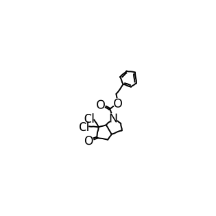 O=C(OCc1ccccc1)N1CCC2CC(=O)C(Cl)(Cl)C21